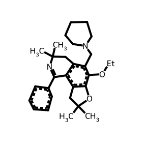 CCOc1c(CN2CCCCC2)c2c(c3c1OC(C)(C)C3)C(c1ccccc1)=NC(C)(C)C2